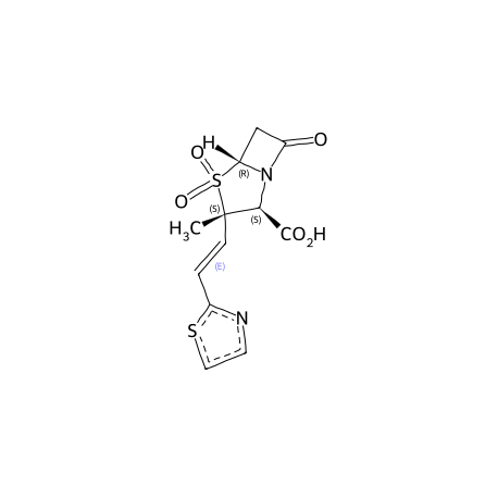 C[C@]1(/C=C/c2nccs2)[C@H](C(=O)O)N2C(=O)C[C@H]2S1(=O)=O